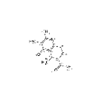 Cc1nc2n(c(=O)c1C)C(C)C(C(N)=O)OC2